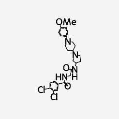 COc1ccc(N2CCC(N3CCC(NC(=O)CNC(=O)c4ccc(Cl)c(Cl)c4)C3)CC2)cc1